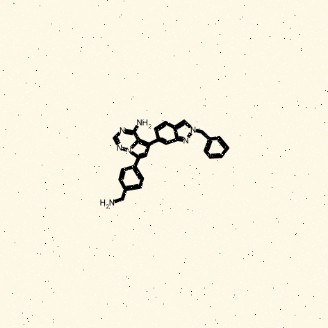 NCc1ccc(-c2cc(-c3ccc4cn(Cc5ccccc5)nc4c3)c3c(N)ncnn23)cc1